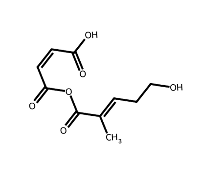 CC(=CCCO)C(=O)OC(=O)/C=C\C(=O)O